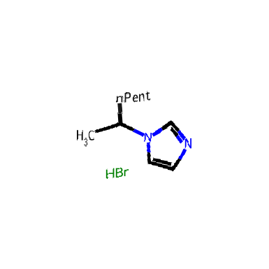 Br.CCCCCC(C)n1ccnc1